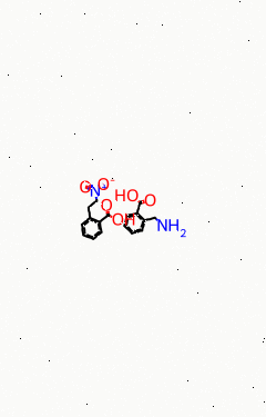 NCc1ccccc1C(=O)O.O=C(O)c1ccccc1CC[N+](=O)[O-]